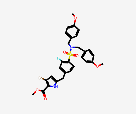 COC(=O)c1[nH]c(Cc2ccc(S(=O)(=O)N(Cc3ccc(OC)cc3)Cc3ccc(OC)cc3)c(F)c2)cc1Br